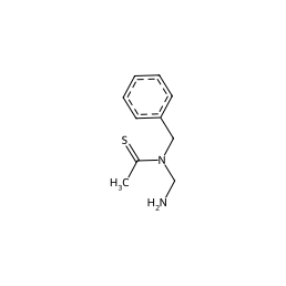 CC(=S)N(CN)Cc1ccccc1